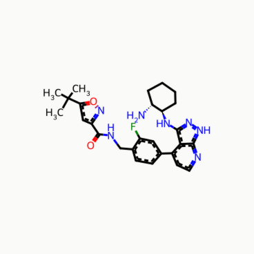 CC(C)(C)c1cc(C(=O)NCc2ccc(-c3ccnc4[nH]nc(N[C@@H]5CCCC[C@H]5N)c34)cc2F)no1